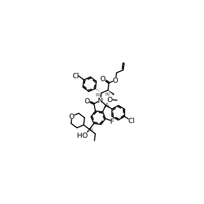 C=CCOC(=O)[C@@H](C)[C@@H](c1ccc(Cl)cc1)N1C(=O)c2cc([C@](O)(CC)C3CCOCC3)cc(F)c2[C@]1(OC)c1ccc(Cl)cc1